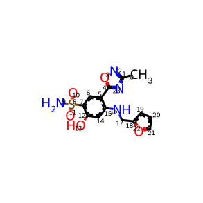 Cc1noc(-c2cc(S(N)(=O)=O)c(O)cc2NCc2ccco2)n1